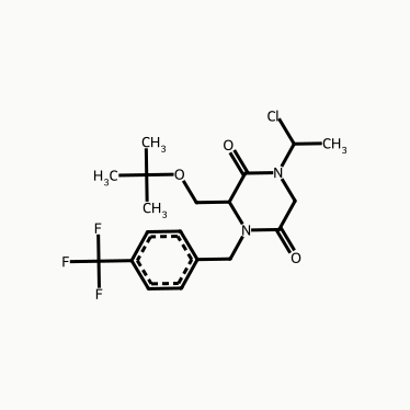 CC(Cl)N1CC(=O)N(Cc2ccc(C(F)(F)F)cc2)C(COC(C)(C)C)C1=O